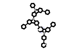 C=C(/C=c1\c(=C/C)n(-c2ccc(-c3ccccn3)cc2)c2ccc(-c3ccccc3)cc12)c1ccc2c(c1)c1cc(-c3ccccc3)ccc1n2-c1ccc2c(c1)c1cc(-c3ccccc3)ccc1n2-c1ccccc1